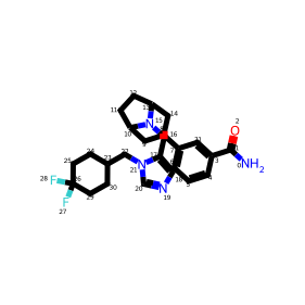 NC(=O)c1cccc(C2CC3CCC(C2)N3Cc2cncn2CC2CCC(F)(F)CC2)c1